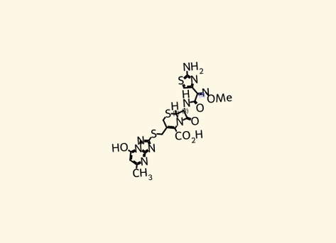 CO/N=C(\C(=O)N[C@@H]1C(=O)N2C(C(=O)O)=C(CSc3nc4nc(C)cc(O)n4n3)CS[C@H]12)c1csc(N)n1